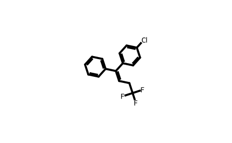 FC(F)(F)CC=C(c1ccccc1)c1ccc(Cl)cc1